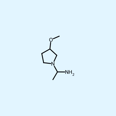 COC1CCN(C(C)N)C1